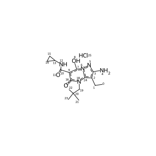 CCc1c(N)nn2c(O)c(C(=O)NC3CC3)c(=O)n(CC(C)(C)C)c12.Cl